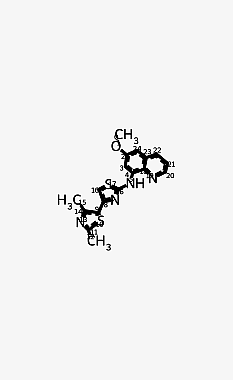 COc1cc(Nc2nc(-c3sc(C)nc3C)cs2)c2ncccc2c1